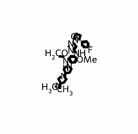 C=CC(=O)Nc1cc(Nc2cc(N3OCC[C@@H]3c3ccc(F)cc3)ncn2)c(OC)cc1N1CCC(N2CCC(N(C)C)CC2)CC1